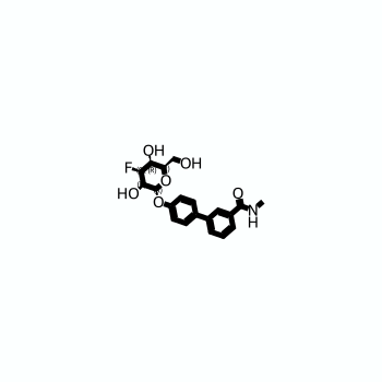 CNC(=O)c1cccc(-c2ccc(O[C@H]3O[C@H](CO)[C@@H](O)[C@H](F)[C@@H]3O)cc2)c1